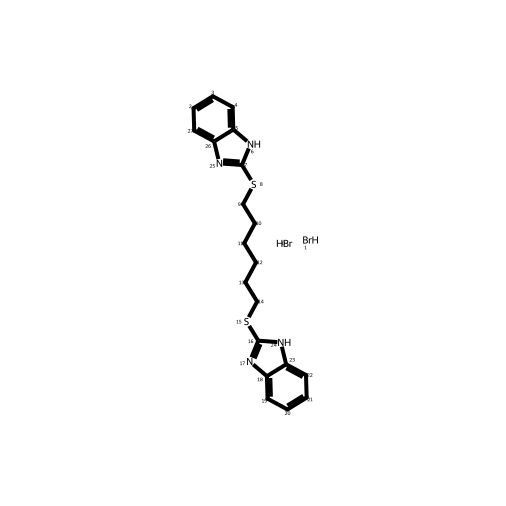 Br.Br.c1ccc2[nH]c(SCCCCCCSc3nc4ccccc4[nH]3)nc2c1